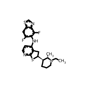 CCN1CCC[C@@H](C2Cc3c(Nc4c(F)cc5scnc5c4F)ccnc3S2)[C@@H]1C